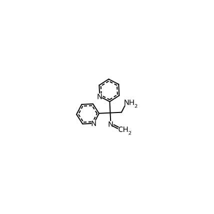 C=NC(CN)(c1ccccn1)c1ccccn1